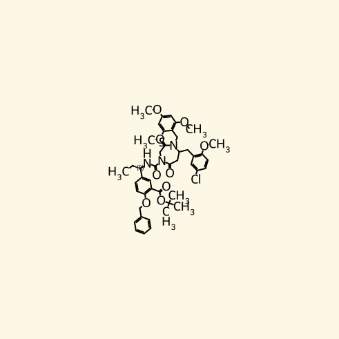 CC[C@@H](NC(=O)N1CC(=S)N(Cc2c(OC)cc(OC)cc2OC)C(Cc2cc(Cl)ccc2OC)CC1=O)c1ccc(OCc2ccccc2)c(C(=O)OC(C)(C)C)c1